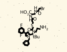 CC(C)(C)[C@H](c1cc(-c2cc(F)ccc2F)cn1Cc1ccccc1)N(CCCN)C(=O)CSCCC(=O)N[C@H](CNC(=O)CBr)C(=O)O